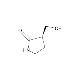 O=C1NCC[C@@H]1CO